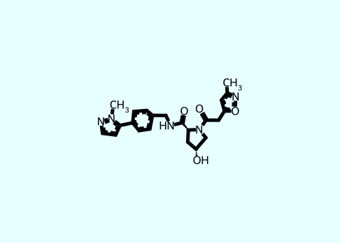 Cc1cc(CC(=O)N2C[C@H](O)C[C@H]2C(=O)NCc2ccc(-c3ccnn3C)cc2)on1